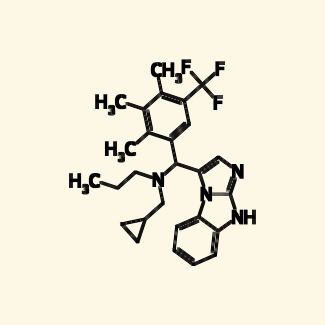 CCCN(CC1CC1)C(c1cc(C(F)(F)F)c(C)c(C)c1C)c1cnc2[nH]c3ccccc3n12